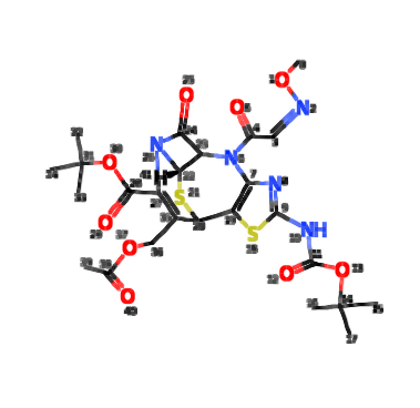 CO/N=C\C(=O)N1c2nc(NC(=O)OC(C)(C)C)sc2C2S[C@H]3C1C(=O)N3C(C(=O)OC(C)(C)C)=C2COC(C)=O